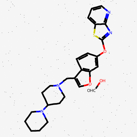 O=CO.c1cnc2nc(Oc3ccc4c(CN5CCC(N6CCCCC6)CC5)coc4c3)sc2c1